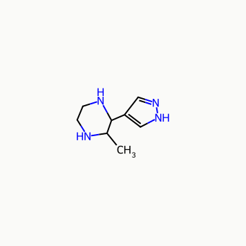 CC1NCCNC1c1cn[nH]c1